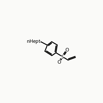 C=CS(=O)(=O)c1ccc(CCCCCCC)cc1